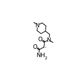 CN1CCC(CN(C)C(=O)[CH]C(N)=O)CC1